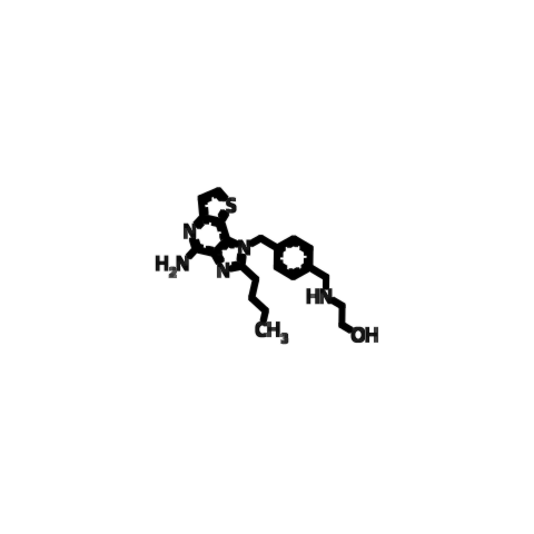 CCCCc1nc2c(N)nc3ccsc3c2n1Cc1ccc(CNCCO)cc1